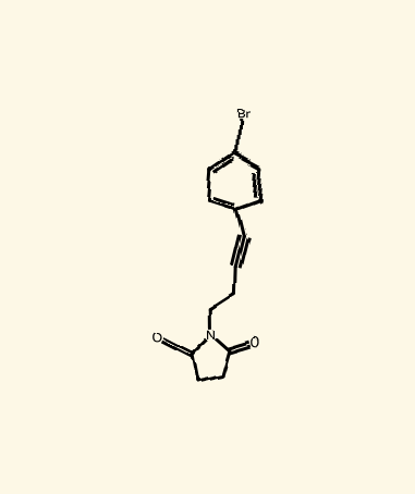 O=C1CCC(=O)N1CCC#Cc1ccc(Br)cc1